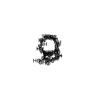 C=C1NC(=O)[C@H]([C@@H](C)CC)NC(=O)[C@@H]2CSSC[C@H](NC(=O)CCC(O)O)C(=O)N[C@H](Cc3ccccc3)C(=O)N[C@H](C)C(=O)NC(C[C@@H](C)CC)C(=O)N[C@@H](C(=O)N[C@H](Cc3ccccc3)C(=O)N3CCC[C@H]3C(=O)N2)[C@@H](C)OC(=O)[C@H](CC)NC(=O)[C@H]([C@@H](C)OC)N(C)C(=O)[C@@H](C(C)C)NC(=O)[C@H](C[C@H](C)CC)NC1=O